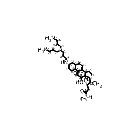 CC(C)NC(=O)CC[C@@H](C)[C@H]1CCC2C3CCC4C[C@@H](NCCCN(CCCN)CCCN)CC[C@]4(C)C3C[C@H](O)[C@@]21C